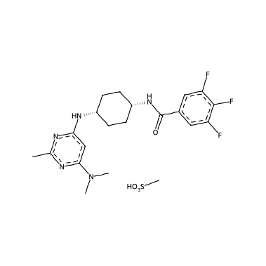 CS(=O)(=O)O.Cc1nc(N[C@H]2CC[C@@H](NC(=O)c3cc(F)c(F)c(F)c3)CC2)cc(N(C)C)n1